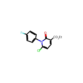 CCOC(=O)c1ccc(Cl)n(-c2ccc(F)cc2)c1=O